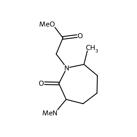 CNC1CCCC(C)N(CC(=O)OC)C1=O